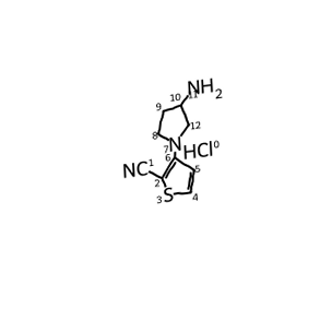 Cl.N#Cc1sccc1N1CCC(N)C1